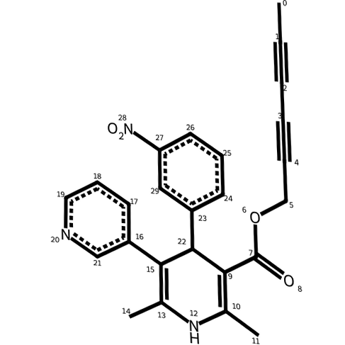 CC#CC#CCOC(=O)C1=C(C)NC(C)=C(c2cccnc2)C1c1cccc([N+](=O)[O-])c1